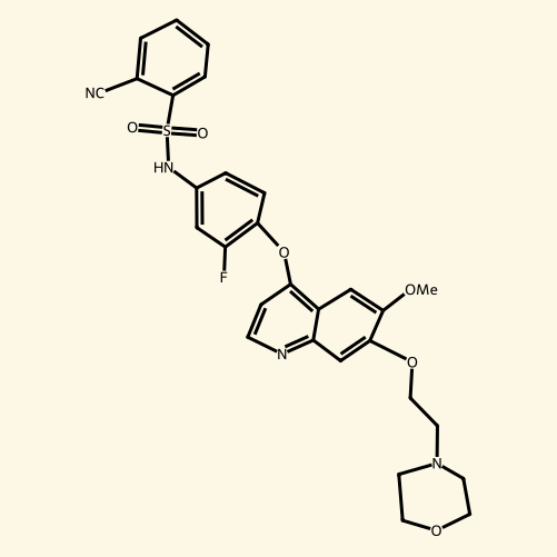 COc1cc2c(Oc3ccc(NS(=O)(=O)c4ccccc4C#N)cc3F)ccnc2cc1OCCN1CCOCC1